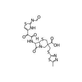 Cc1nnc(SCC2(C(=O)O)CS[C@@H]3C(NC(=O)C(=O)c4csc(=NC=O)[nH]4)C(=O)N3C2)s1